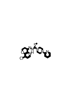 CSC(N/N=C1/CCOc2c(Cl)ccnc21)N1CCN(c2ccccn2)CC1